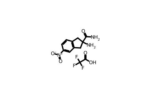 NC(=O)C1(N)Cc2ccc([N+](=O)[O-])cc2C1.O=C(O)C(F)(F)F